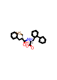 O=C(N[C@@H](Cc1ccccc1-c1ccccc1)C(=O)O)[C@@H](CS)Cc1ccccc1